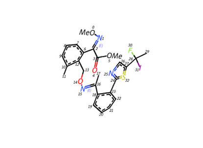 CO/N=C(/C(=O)OC)c1cccc(C)c1CO/N=C(\C)c1ccccc1-c1ncc(C(C)(F)I)s1